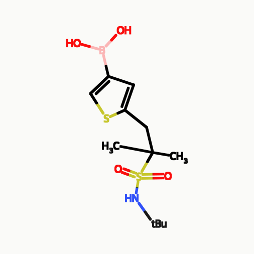 CC(C)(C)NS(=O)(=O)C(C)(C)Cc1cc(B(O)O)cs1